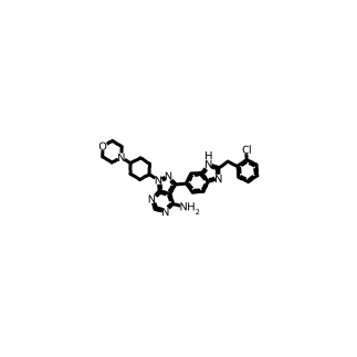 Nc1ncnc2c1c(-c1ccc3nc(Cc4ccccc4Cl)[nH]c3c1)nn2C1CCC(N2CCOCC2)CC1